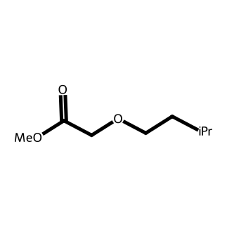 COC(=O)COCCC(C)C